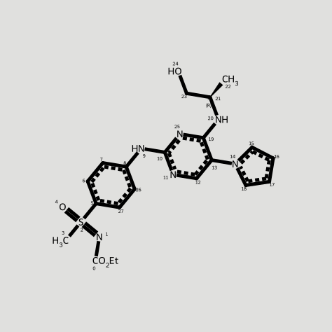 CCOC(=O)N=S(C)(=O)c1ccc(Nc2ncc(-n3cccc3)c(N[C@H](C)CO)n2)cc1